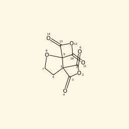 O=C1OC(=O)C12CCOC21C(=O)OC1=O